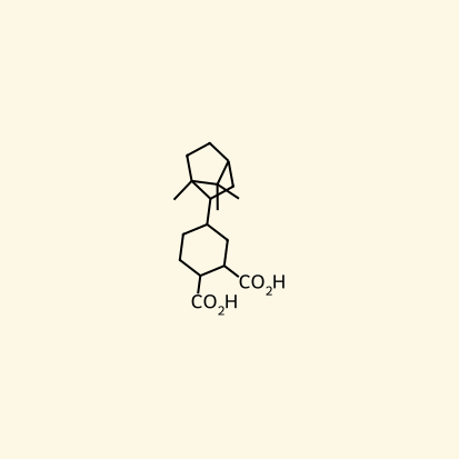 CC1(C)C2CCC1(C)C(C1CCC(C(=O)O)C(C(=O)O)C1)C2